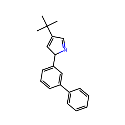 CC(C)(C)C1=CC(c2cccc(-c3ccccc3)c2)N=C1